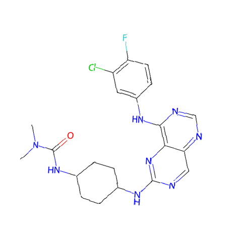 CN(C)C(=O)NC1CCC(Nc2ncc3ncnc(Nc4ccc(F)c(Cl)c4)c3n2)CC1